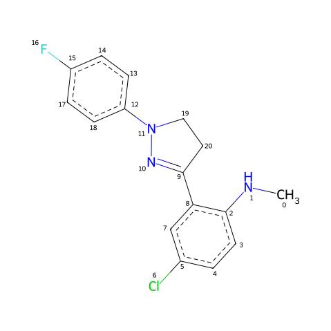 CNc1ccc(Cl)cc1C1=NN(c2ccc(F)cc2)CC1